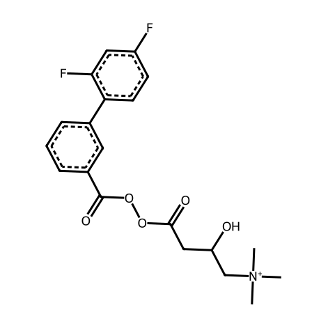 C[N+](C)(C)CC(O)CC(=O)OOC(=O)c1cccc(-c2ccc(F)cc2F)c1